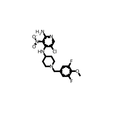 COc1c(F)cc(CN2CCC(Nc3c(Cl)cnc(N)c3[N+](=O)[O-])CC2)cc1F